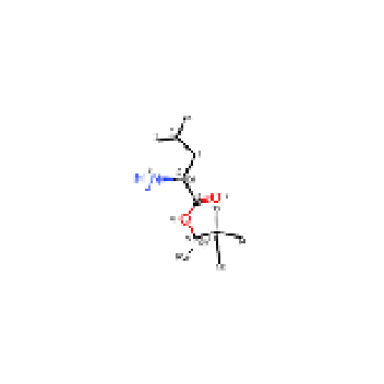 CC(C)C[C@H](N)C(=O)O[C@@H](C)C(C)(C)C